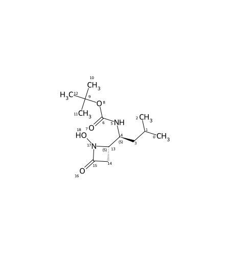 CC(C)C[C@H](NC(=O)OC(C)(C)C)[C@@H]1CC(=O)N1O